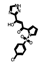 O=C(C=C(O)c1nc[nH]n1)c1cccn1S(=O)(=O)c1ccc(Cl)cc1